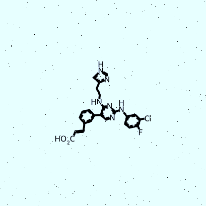 O=C(O)C=Cc1cccc(-c2cnc(Nc3ccc(F)c(Cl)c3)nc2NCCc2c[nH]cn2)c1